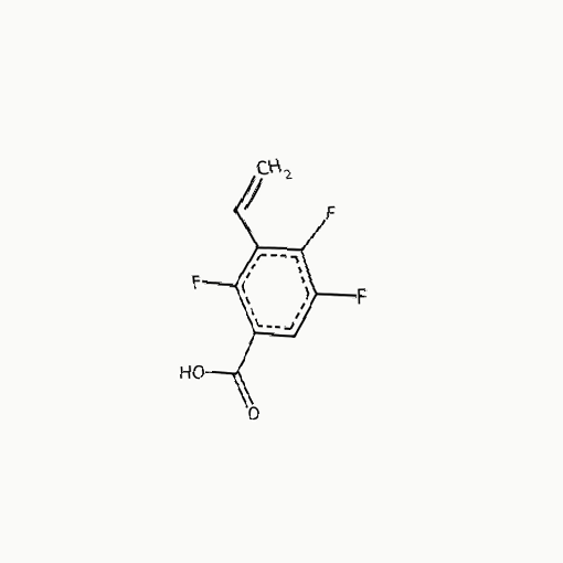 C=Cc1c(F)c(F)cc(C(=O)O)c1F